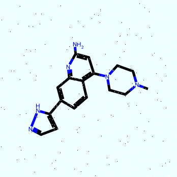 CN1CCN(c2cc(N)nc3cc(-c4ccn[nH]4)ccc23)CC1